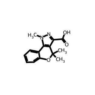 Cn1nc(C(=O)O)c2c1-c1ccccc1OC2(C)C